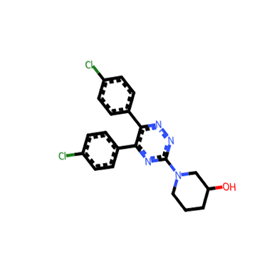 OC1CCCN(c2nnc(-c3ccc(Cl)cc3)c(-c3ccc(Cl)cc3)n2)C1